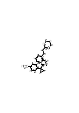 Cc1ccc(C2(c3nnc4c(CCC5OCCCO5)cccn34)CC2)cc1